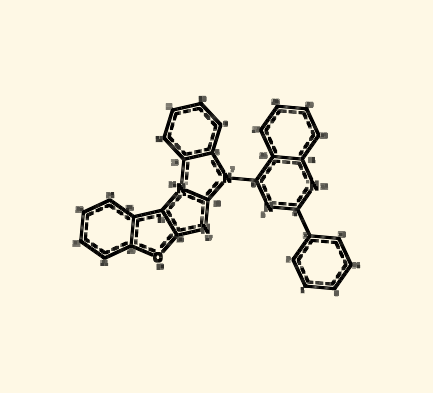 c1ccc(-c2nc(-n3c4ccccc4n4c5c(nc34)oc3ccccc35)c3ccccc3n2)cc1